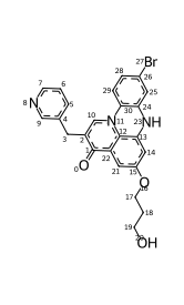 O=c1c(Cc2cccnc2)cn2c3c(cc(OCCCO)cc13)Nc1cc(Br)ccc1-2